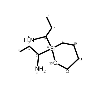 CCC(N)[Si]1(C(N)CC)CCCCO1